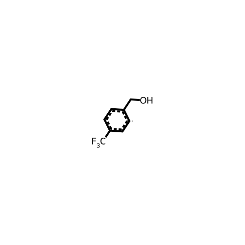 OCc1[c]cc(C(F)(F)F)cc1